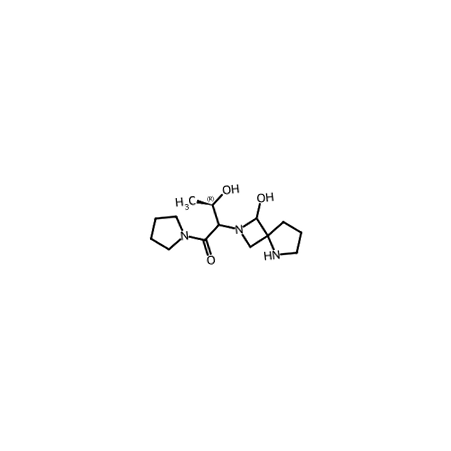 C[C@@H](O)C(C(=O)N1CCCC1)N1CC2(CCCN2)C1O